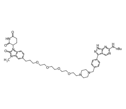 CCCCNc1ncc2c(-c3ccc(CN4CCN(CCOCCOCCOCCOCCCc5ccc6c(c5)n(C)c(=O)n6C5CCC(=O)NC5=O)CC4)cc3)n[nH]c2n1